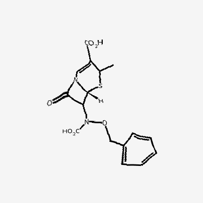 CC1S[C@@H]2C(N(OCc3ccccc3)C(=O)O)C(=O)N2C=C1C(=O)O